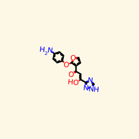 Nc1ccc(Oc2occc2C(=O)C=C(O)c2nc[nH]n2)cc1